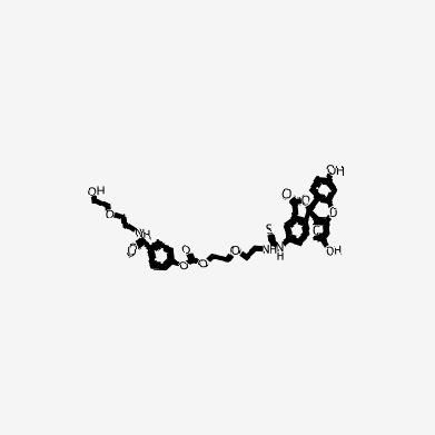 O=C(OCCOCCNC(=S)Nc1ccc2c(c1)C(=O)OC21c2ccc(O)cc2Oc2cc(O)ccc21)Oc1ccc(C(=O)NCCOCCO)cc1